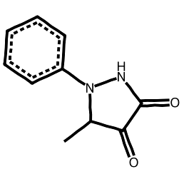 CC1C(=O)C(=O)NN1c1ccccc1